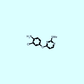 CSc1nccc(Oc2ccc(N)c(Cl)c2)n1